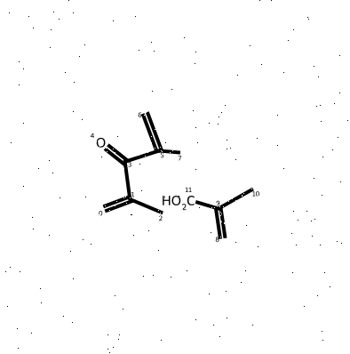 C=C(C)C(=O)C(=C)C.C=C(C)C(=O)O